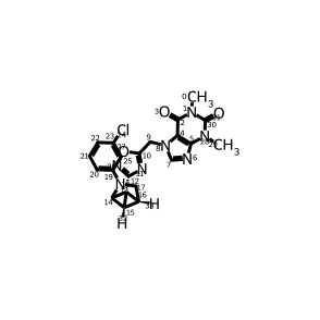 Cn1c(=O)c2c(ncn2Cc2nc([C@@]34C5[C@H]3[C@H]4CN5c3cccc(Cl)c3)no2)n(C)c1=O